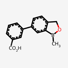 CB1OCc2ccc(-c3cccc(C(=O)O)c3)cc21